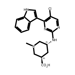 CN1C[C@H](Nc2ncc(Cl)c(-c3c[nH]c4ccccc34)n2)C[C@@H](C(=O)O)C1